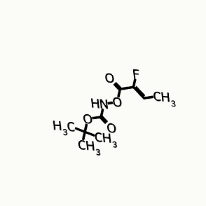 CC=C(F)C(=O)ONC(=O)OC(C)(C)C